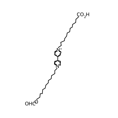 O=COCCCCCCCCCCCCCC[n+]1ccc(-c2cc[n+](CCCCCCCCCCCCCCC(=O)O)cc2)cc1